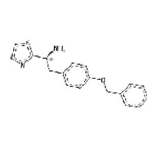 N[C@@H](Cc1ccc(OCc2ccccc2)cc1)c1nccs1